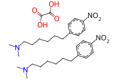 CN(C)CCCCCCc1ccc([N+](=O)[O-])cc1.CN(C)CCCCCCc1ccc([N+](=O)[O-])cc1.O=C(O)C(=O)O